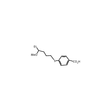 CCC(CCCSc1ccc(C(=O)O)cc1)OC